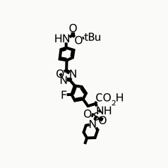 CC1CCN(S(=O)(=O)NC(Cc2ccc(-c3noc(-c4ccc(NC(=O)OC(C)(C)C)cc4)n3)c(F)c2)C(=O)O)CC1